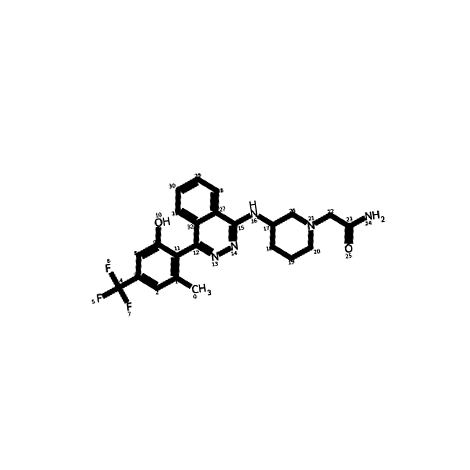 Cc1cc(C(F)(F)F)cc(O)c1-c1nnc(NC2CCCN(CC(N)=O)C2)c2ccccc12